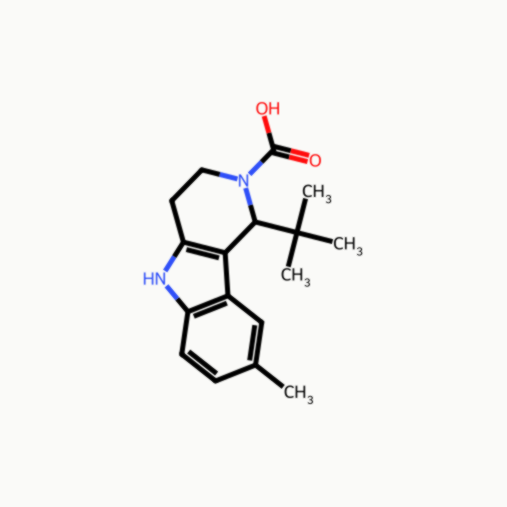 Cc1ccc2[nH]c3c(c2c1)C(C(C)(C)C)N(C(=O)O)CC3